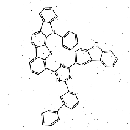 c1ccc(-c2cccc(-c3nc(-c4ccc5oc6ccccc6c5c4)nc(-c4cccc5c4sc4c5ccc5c6ccccc6n(-c6ccccc6)c54)n3)c2)cc1